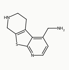 NCc1ccnc2sc3c(c12)CCNC3